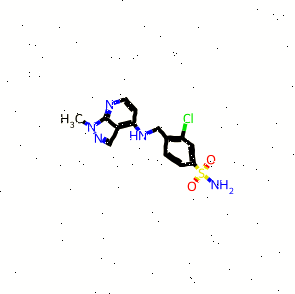 Cn1ncc2c(NCc3ccc(S(N)(=O)=O)cc3Cl)ccnc21